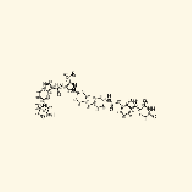 O=C1CCC(c2noc3c(CC(=O)NC4CCN(CC5CCC(n6cc(NC(=O)c7cnn8ccc(N9C[C@H]%10C[C@@H]9CO%10)nc78)c(C(F)F)n6)CC5)CC4)cccc23)C(=O)N1